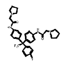 O=C(CN1CCCC1)Nc1ccc(C(c2ccc(F)cc2)(c2ccc(NC(=O)CN3CCCC3)cc2)C(F)(F)F)cc1